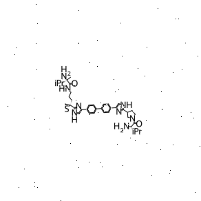 CC(C)[C@H](N)C(=O)N1CCC(c2nc(-c3ccc(-c4ccc(-c5c[nH]c([C@]6(CCCNC(=O)[C@](C)(N)C(C)C)CS6)n5)cc4)cc3)c[nH]2)C1